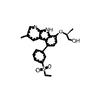 CCS(=O)(=O)c1cccc(-c2ccc(O[C@@H](C)CO)c3[nH]c4ncc(C)cc4c23)c1